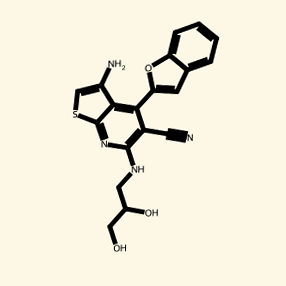 N#Cc1c(NCC(O)CO)nc2scc(N)c2c1-c1cc2ccccc2o1